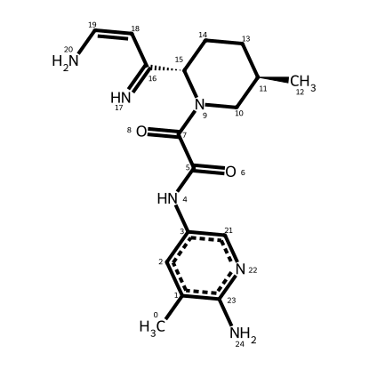 Cc1cc(NC(=O)C(=O)N2C[C@H](C)CC[C@H]2C(=N)/C=C\N)cnc1N